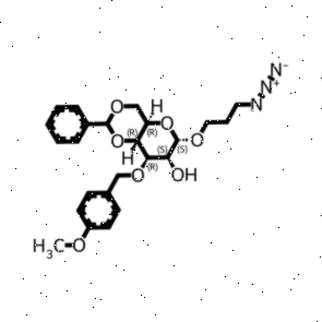 COc1ccc(CO[C@@H]2[C@H](O)[C@@H](OCCCN=[N+]=[N-])O[C@@H]3COC(c4ccccc4)O[C@@H]23)cc1